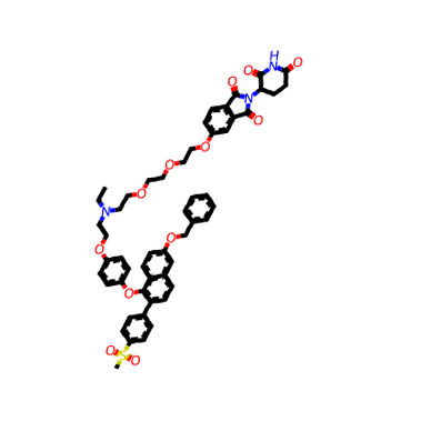 CCN(CCOCCOCCOc1ccc2c(c1)C(=O)N(C1CCC(=O)NC1=O)C2=O)CCOc1ccc(Oc2c(-c3ccc(S(C)(=O)=O)cc3)ccc3cc(OCc4ccccc4)ccc23)cc1